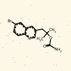 CC(C)(Cc1cnc2ccc(Br)cc2c1)OC(N)=O